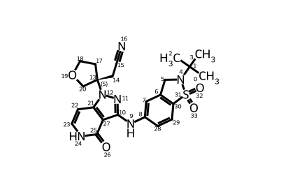 CC(C)(C)N1Cc2cc(Nc3nn([C@@]4(CC#N)CCOC4)c4cc[nH]c(=O)c34)ccc2S1(=O)=O